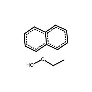 CCOO.c1ccc2ccccc2c1